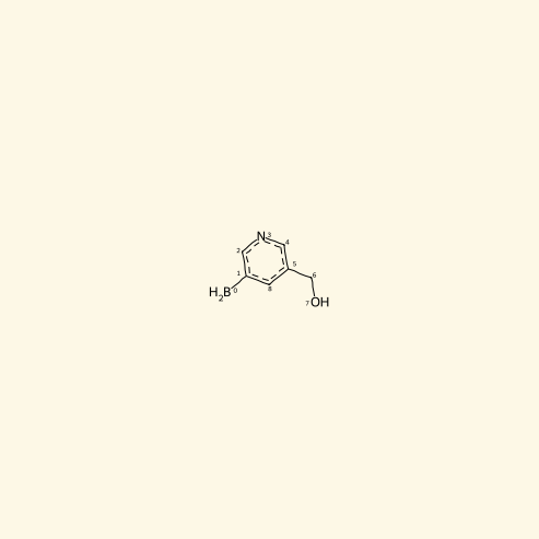 Bc1cncc(CO)c1